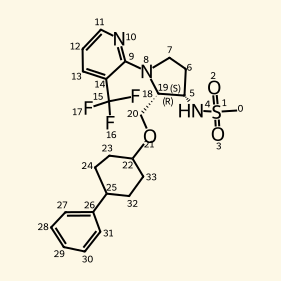 CS(=O)(=O)N[C@H]1CCN(c2ncccc2C(F)(F)F)[C@H]1COC1CCC(c2ccccc2)CC1